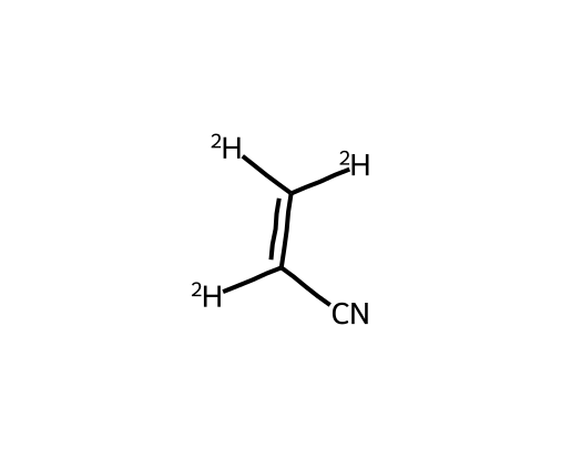 [2H]C([2H])=C([2H])C#N